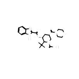 CC(C)(C)C1[C@@H](NC(=O)c2nc3ccccc3[nH]2)C[C@@H](C(=O)N2CCOCC2)CN1C(=O)O